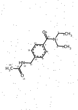 CCN(CC)C(=O)c1ccc(CNC(C)=O)cc1